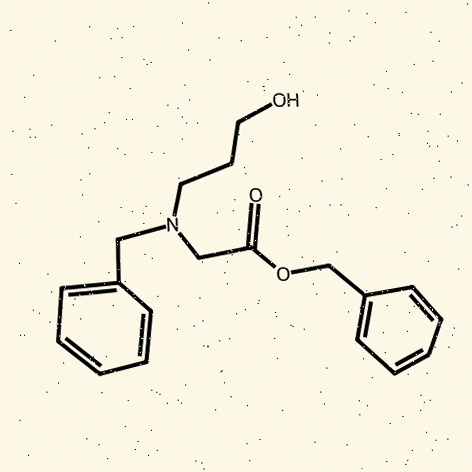 O=C(CN(CCCO)Cc1ccccc1)OCc1ccccc1